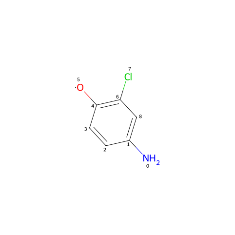 Nc1ccc([O])c(Cl)c1